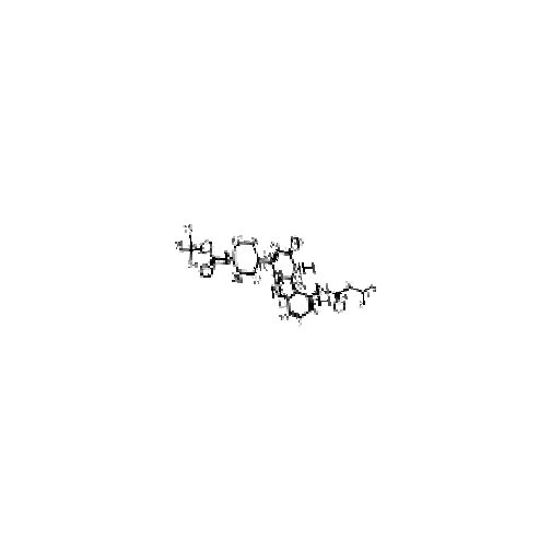 CC(C)CC(=O)Nc1cccc2nn3c(C4CCN(C(=O)OC(C)(C)C)CC4)cc(=O)[nH]c3c12